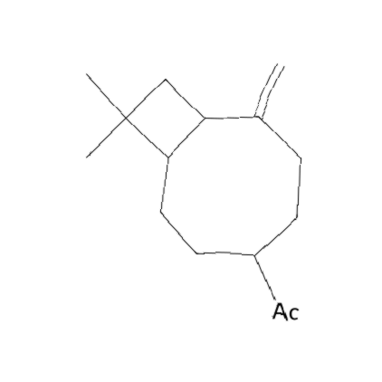 C=C1CCC(C(C)=O)CCC2C1CC2(C)C